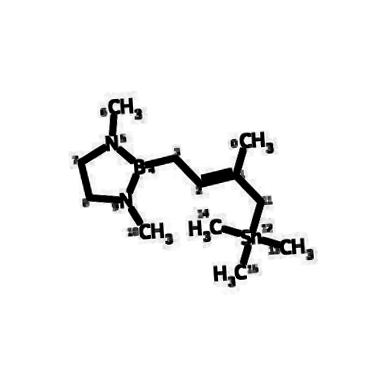 C/C(=C\CB1N(C)CCN1C)[CH2][Sn]([CH3])([CH3])[CH3]